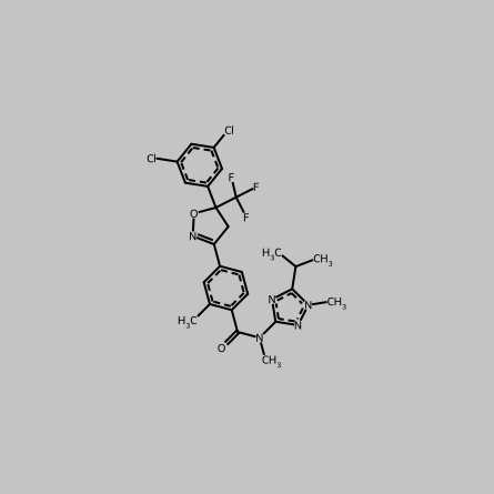 Cc1cc(C2=NOC(c3cc(Cl)cc(Cl)c3)(C(F)(F)F)C2)ccc1C(=O)N(C)c1nc(C(C)C)n(C)n1